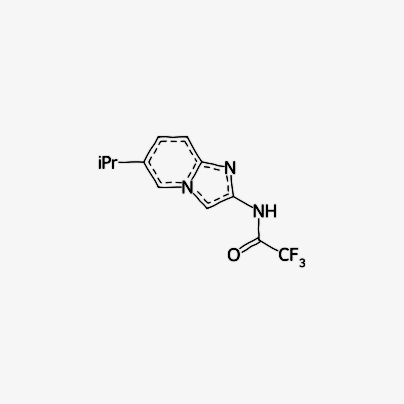 CC(C)c1ccc2nc(NC(=O)C(F)(F)F)cn2c1